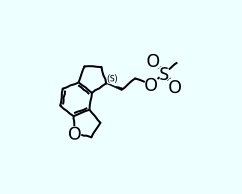 CS(=O)(=O)OCC[C@@H]1CCc2ccc3c(c21)CCO3